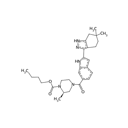 CCCCOC(=O)N1CCN(C(=O)c2ccc3cc(-c4n[nH]c5c4CCC(C)(C)C5)[nH]c3c2)C[C@H]1C